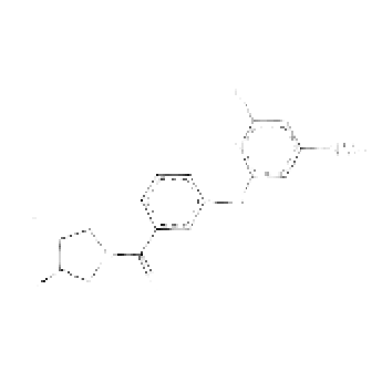 CNc1cc(Oc2cccc(C(=O)N3C[C@@H](O)[C@H](F)C3)c2)nc(C(F)(F)F)c1